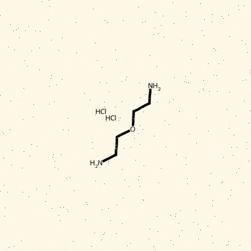 Cl.Cl.NCCOCCN